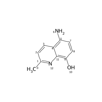 Cc1ccc2c(N)ccc(O)c2n1